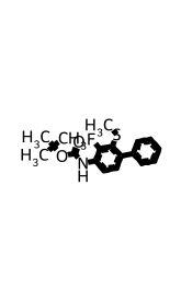 CSc1c(-c2ccccc2)ccc(NC(=O)OC(C)(C)C)c1F